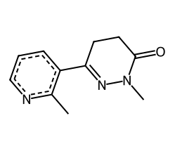 Cc1ncccc1C1=NN(C)C(=O)CC1